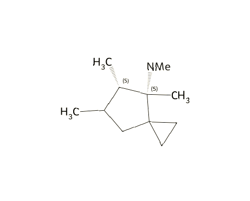 CN[C@@]1(C)[C@@H](C)C(C)CC12CC2